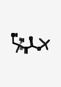 [2H][C@](C)(CO)NC(=O)OC(C)(C)C